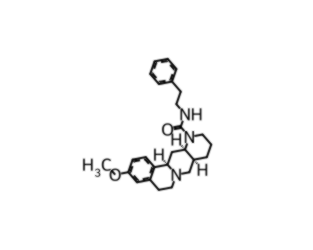 COc1ccc2c(c1)CCN1C[C@@H]3CCCN(C(=O)NCCc4ccccc4)[C@@H]3C[C@H]21